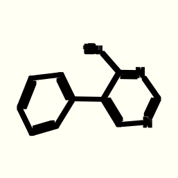 CC(C)(C)c1ncncc1-c1ccccc1